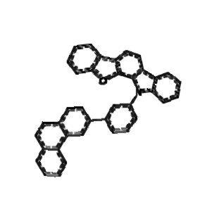 c1cc(-c2ccc3ccc4ccccc4c3c2)cc(-n2c3ccccc3c3ccc4c5ccccc5oc4c32)c1